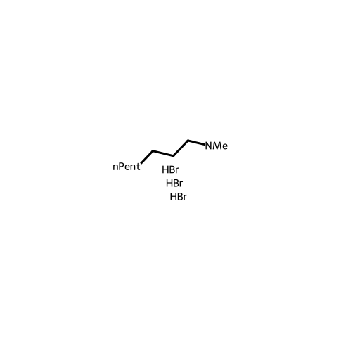 Br.Br.Br.CCCCCCCCNC